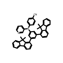 CC1(C)c2ccccc2-c2cccc(-c3cc(-c4cccc5c4C(C)(C)c4ccccc4-5)cc(N(c4ccc(C#N)cc4)c4cccnc4)c3)c21